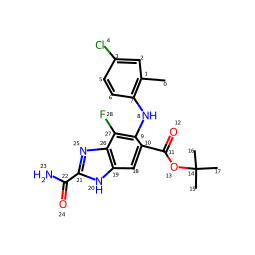 Cc1cc(Cl)ccc1Nc1c(C(=O)OC(C)(C)C)cc2[nH]c(C(N)=O)nc2c1F